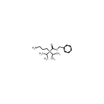 CC(C)[Si](CCCN)(C(=O)OCc1ccccc1)C(C)C